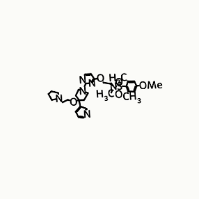 COc1cc(C)c(S(=O)(=O)N(C)CCOc2ccnc(N3CCC(OCCN4CCCC4)(c4cccnc4)CC3)n2)c(C)c1